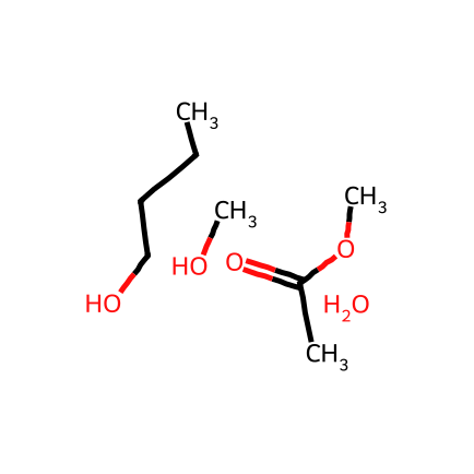 CCCCO.CO.COC(C)=O.O